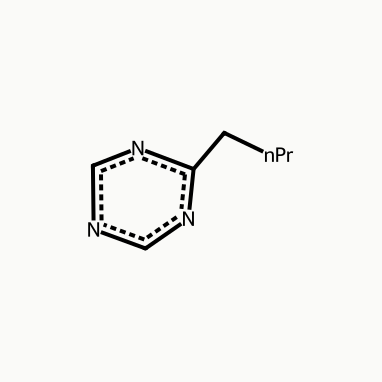 [CH2]CCCc1ncncn1